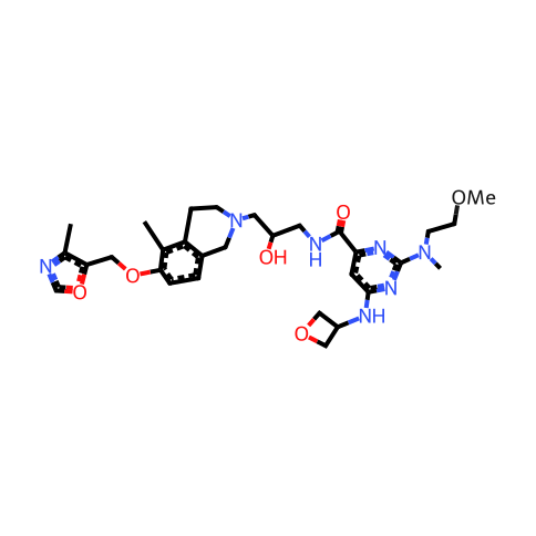 COCCN(C)c1nc(NC2COC2)cc(C(=O)NCC(O)CN2CCc3c(ccc(OCc4ocnc4C)c3C)C2)n1